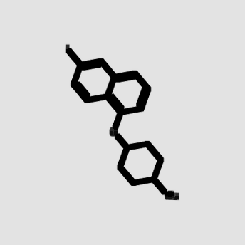 CC(C)(C)C1CCC(Oc2cccc3cc(I)ccc23)CC1